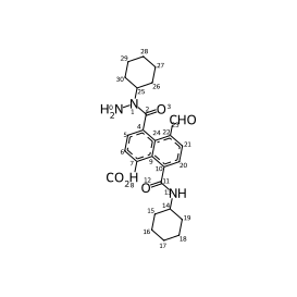 NN(C(=O)c1ccc(C(=O)O)c2c(C(=O)NC3CCCCC3)ccc(C=O)c12)C1CCCCC1